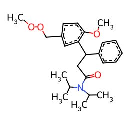 COOCc1ccc(OC)c(C(CC(=O)N(C(C)C)C(C)C)c2ccccc2)c1